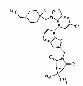 CCN1CCC(F)(Cn2ccc3cc(Cl)cc(-c4ccnc5cc(CN6C(=O)C7C(C6=O)C7(C)C)sc45)c32)CC1